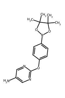 CC1(C)OB(c2ccc(Oc3ncc(N)cn3)cc2)OC1(C)C